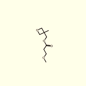 COCCC(=O)OCC1(C)COC1